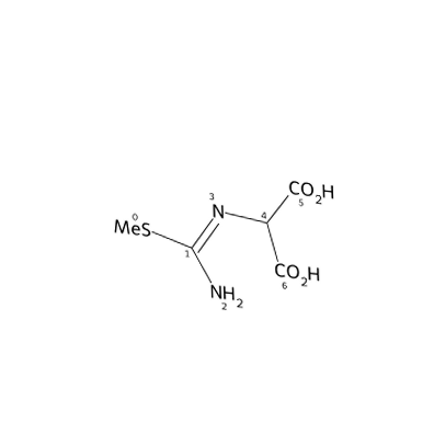 CSC(N)=NC(C(=O)O)C(=O)O